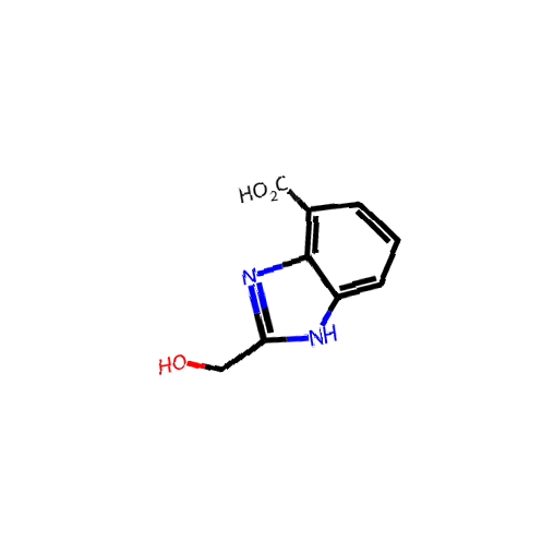 O=C(O)c1cccc2[nH]c(CO)nc12